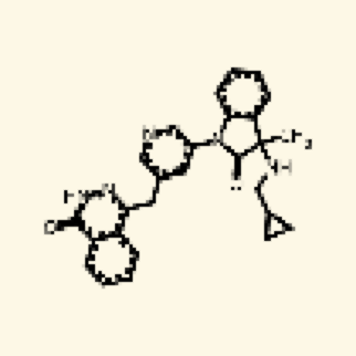 CC1(NCC2CC2)C(=O)N(c2cncc(Cc3n[nH]c(=O)c4ccccc34)c2)c2ccccc21